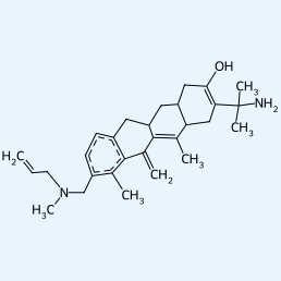 C=CCN(C)Cc1ccc2c(c1C)C(=C)C1=C(C)C3CC(C(C)(C)N)=C(O)CC3CC1C2